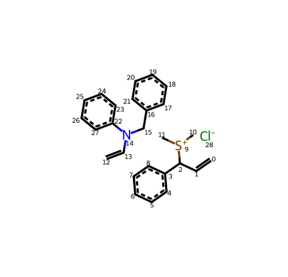 C=CC(c1ccccc1)[S+](C)C.C=CN(Cc1ccccc1)c1ccccc1.[Cl-]